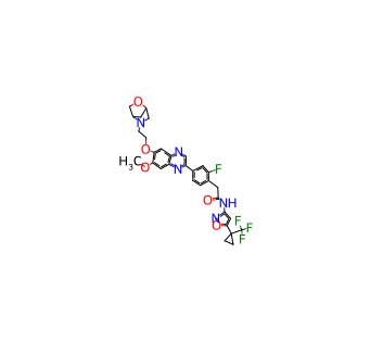 COc1cc2nc(-c3ccc(CC(=O)Nc4cc(C5(C(F)(F)F)CC5)on4)c(F)c3)cnc2cc1OCCN1CC2CC1CO2